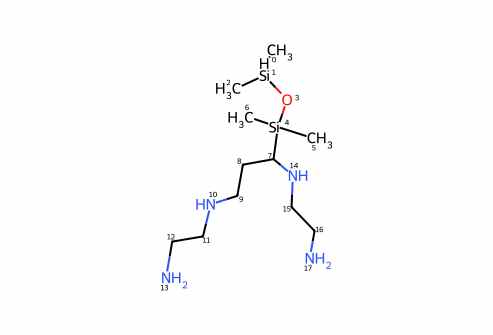 C[SiH](C)O[Si](C)(C)C(CCNCCN)NCCN